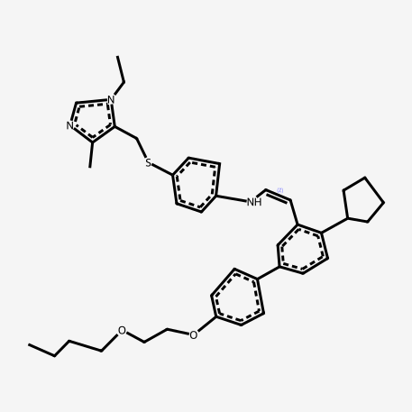 CCCCOCCOc1ccc(-c2ccc(C3CCCC3)c(/C=C\Nc3ccc(SCc4c(C)ncn4CC)cc3)c2)cc1